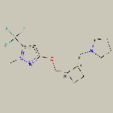 Cn1nc(OC[C@H]2CC[C@H]2CN2CCCC2)cc1C(F)(F)F